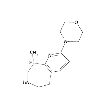 C[C@H]1CNCCc2ccc(N3CCOCC3)nc21